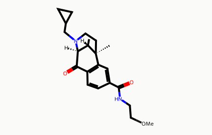 COCCNC(=O)c1ccc2c(c1)[C@]1(C)CCN(CC3CC3)[C@H](C2=O)[C@@H]1C